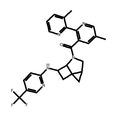 Cc1cnc(-c2ncccc2C)c(C(=O)N2CC3CC34CC(Nc3ccc(C(F)(F)F)cn3)C24)c1